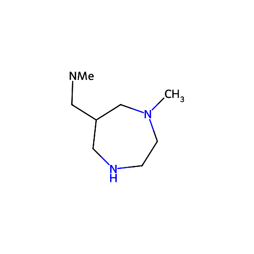 CNCC1CNCCN(C)C1